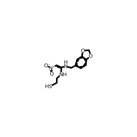 O=[N+]([O-])C=C(NCCS)NCc1ccc2c(c1)OCO2